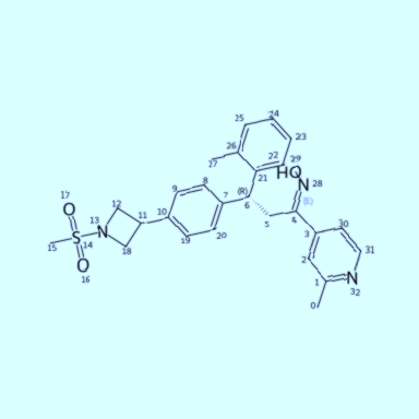 Cc1cc(/C(C[C@H](c2ccc(C3CN(S(C)(=O)=O)C3)cc2)c2ccccc2C)=N/O)ccn1